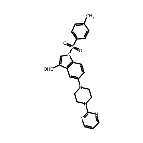 Cc1ccc(S(=O)(=O)n2cc(C=O)c3cc(N4CCN(c5ncccn5)CC4)ccc32)cc1